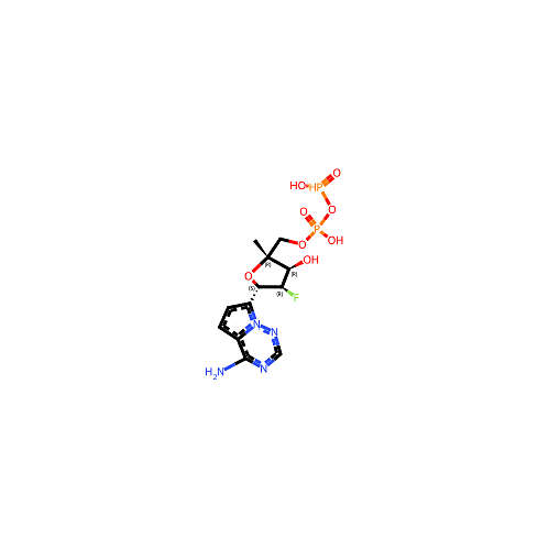 C[C@]1(COP(=O)(O)O[PH](=O)O)O[C@@H](c2ccc3c(N)ncnn23)[C@H](F)[C@@H]1O